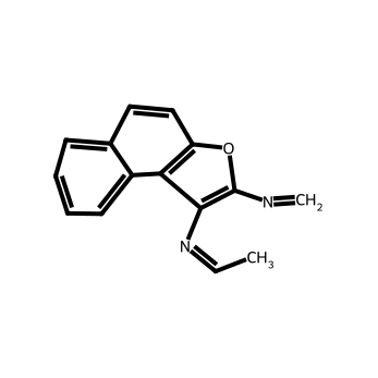 C=Nc1oc2ccc3ccccc3c2c1/N=C\C